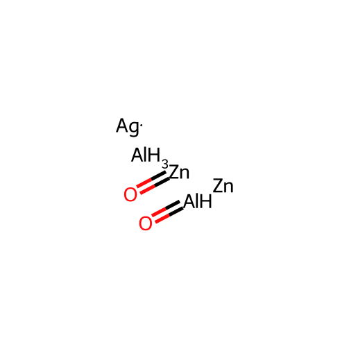 [Ag].[AlH3].[O]=[AlH].[O]=[Zn].[Zn]